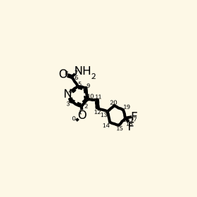 COc1cnc(C(N)=O)cc1C=CC1CCC(F)(F)CC1